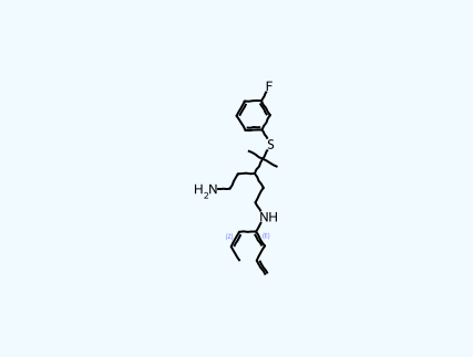 C=C/C=C(\C=C/C)NCCC(CCN)C(C)(C)Sc1cccc(F)c1